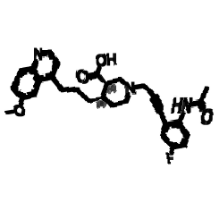 COc1ccc2nccc(CCC[C@@H]3CCN(CC#Cc4cc(F)ccc4NC(C)=O)C[C@@H]3C(=O)O)c2c1